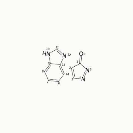 O=C1C=CN=N1.c1ccc2[nH]cnc2c1